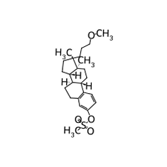 COCCC[C@@]1(C)CC[C@H]2[C@@H]3CCc4cc(OS(C)(=O)=O)ccc4[C@H]3CC[C@@]21C